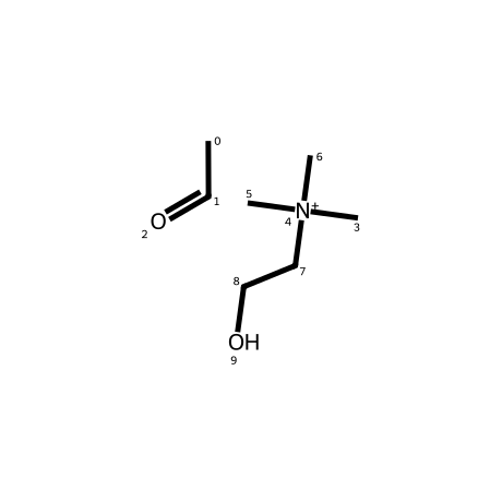 CC=O.C[N+](C)(C)CCO